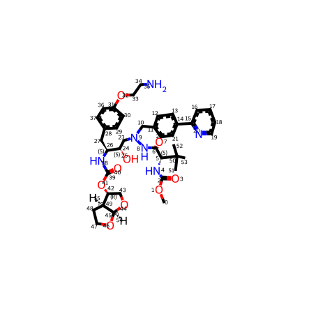 COC(=O)N[C@H](C(=O)NN(Cc1ccc(-c2ccccn2)cc1)C[C@H](O)[C@H](Cc1ccc(OCCN)cc1)NC(=O)O[C@H]1CO[C@H]2OCC[C@H]21)C(C)(C)C